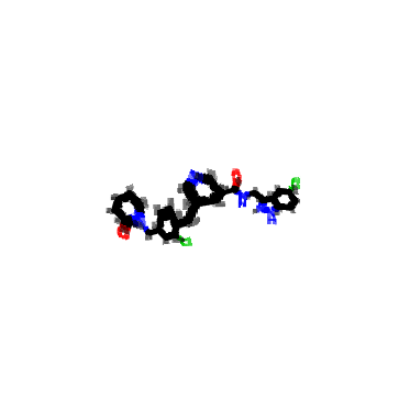 O=C(NCc1n[nH]c2ccc(Cl)cc12)c1cncc(Cc2ccc(Cn3ccccc3=O)cc2Cl)c1